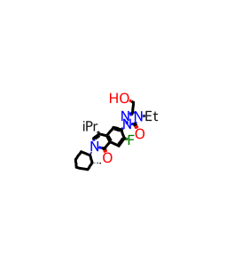 CCn1c(CO)nn(-c2cc3c(C(C)C)cn([C@H]4CCCC[C@H]4C)c(=O)c3cc2F)c1=O